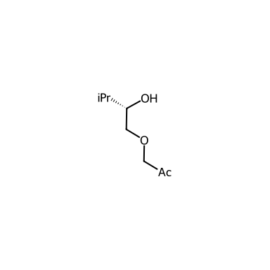 CC(=O)COC[C@@H](O)C(C)C